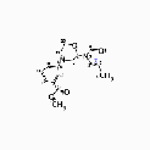 C/C=C/N(C=O)C1CN(c2cccc(C(=O)OC)c2)CCO1